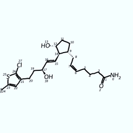 NC(=O)CCC/C=C\C[C@H]1CC[C@@H](O)[C@@H]1/C=C/[C@@H](O)CCc1cc(Cl)sc1Cl